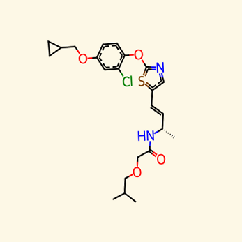 CC(C)COCC(=O)N[C@@H](C)/C=C/c1cnc(Oc2ccc(OCC3CC3)cc2Cl)s1